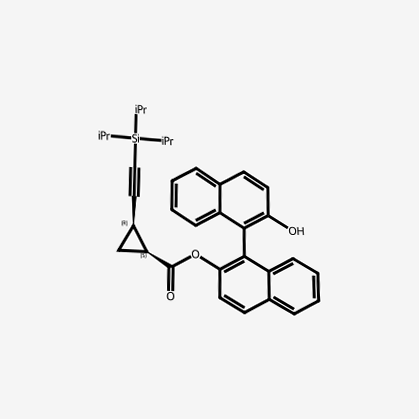 CC(C)[Si](C#C[C@@H]1C[C@@H]1C(=O)Oc1ccc2ccccc2c1-c1c(O)ccc2ccccc12)(C(C)C)C(C)C